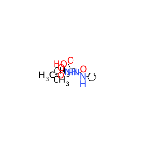 CC(C)(C)OC(=O)NC(CNC(=O)Nc1ccccc1)C(=O)O